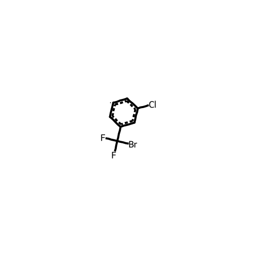 FC(F)(Br)c1c[c]cc(Cl)c1